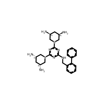 N[C@@H]1C[C@H](N)CN(c2nc(NCc3ccccc3-c3ccccc3)nc(N3C[C@H](N)C[C@H](N)C3)n2)C1